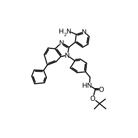 CC(C)(C)OC(=O)NCc1ccc(-n2c(-c3cccnc3N)nc3ccc(-c4ccccc4)cc32)cc1